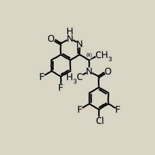 C[C@H](c1n[nH]c(=O)c2cc(F)c(F)cc12)N(C)C(=O)c1cc(F)c(Cl)c(F)c1